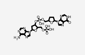 Nc1ncnc2c1ncn2C1CC(OP(=O)(O)OCC2CCC(n3cnc4c(=O)[nH]cnc43)O2)C(COP(=O)(O)O)O1